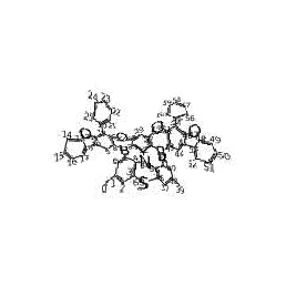 Cc1cc2c3c(c1)B1c4cc5c(oc6ccccc65)c(-c5ccccc5)c4Oc4cc5c6c(c41)N3c1c(cc(C)cc1B6c1cc3c(oc4ccccc43)c(-c3ccccc3)c1O5)S2